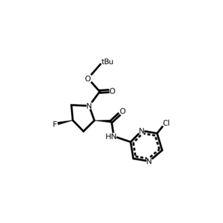 CC(C)(C)OC(=O)N1C[C@H](F)C[C@@H]1C(=O)Nc1cncc(Cl)n1